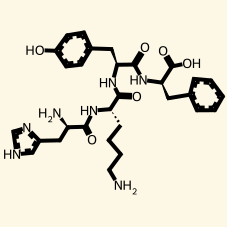 NCCCC[C@H](NC(=O)[C@H](N)Cc1c[nH]cn1)C(=O)N[C@@H](Cc1ccc(O)cc1)C(=O)N[C@H](Cc1ccccc1)C(=O)O